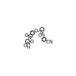 N#Cc1cccc(CC(=O)N2CCCC[C@@H]2COc2ccc3c(c2)CN(C2CCC(=O)NC2=O)C3=O)c1